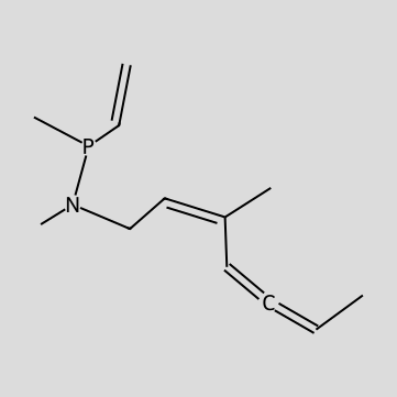 C=CP(C)N(C)C/C=C(/C)C=C=CC